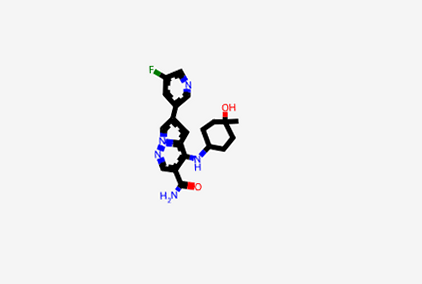 CC1(O)CCC(Nc2c(C(N)=O)cnn3cc(-c4cncc(F)c4)cc23)CC1